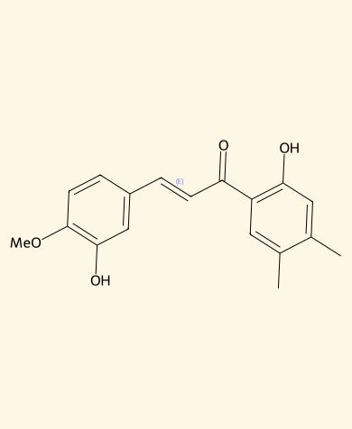 COc1ccc(/C=C/C(=O)c2cc(C)c(C)cc2O)cc1O